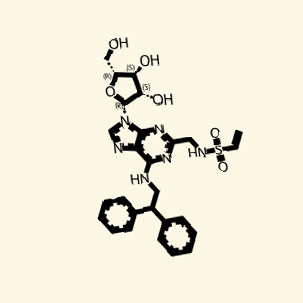 C=CS(=O)(=O)NCc1nc(NCC(c2ccccc2)c2ccccc2)c2ncn([C@@H]3O[C@H](CO)[C@@H](O)[C@@H]3O)c2n1